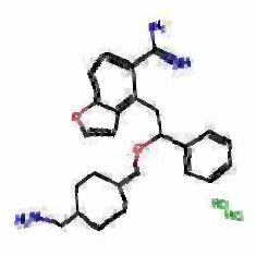 Cl.Cl.N=C(N)c1ccc2occc2c1CC(OCC1CCC(CN)CC1)c1ccccc1